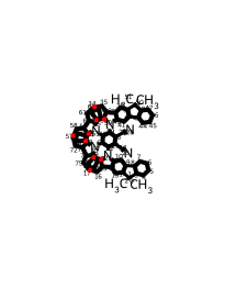 CC1(C)c2ccccc2-c2cc3c(cc21)c1ccccc1n3-c1c(C#N)c(C#N)c(-n2c3ccccc3c3cc4c(cc32)-c2ccccc2C4(C)C)c(-n2c3ccccc3c3ccccc32)c1-n1c2ccccc2c2ccccc21